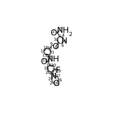 NC(=O)c1cncc(OCc2cccc(NC(=O)c3ccc(N4CCOCC4)c(F)c3)c2)c1